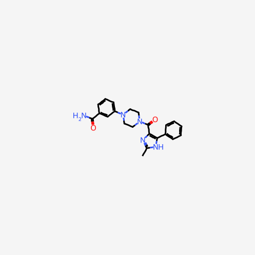 Cc1nc(C(=O)N2CCN(c3cccc(C(N)=O)c3)CC2)c(-c2ccccc2)[nH]1